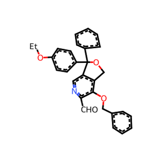 CCOc1ccc(C2(c3ccccc3)OCc3c2cnc(C=O)c3OCc2ccccc2)cc1